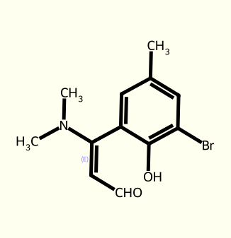 Cc1cc(Br)c(O)c(/C(=C\C=O)N(C)C)c1